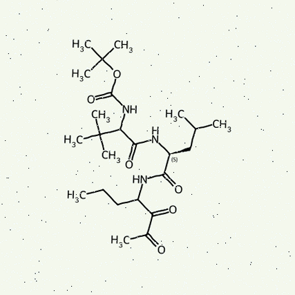 CCCC(NC(=O)[C@H](CC(C)C)NC(=O)C(NC(=O)OC(C)(C)C)C(C)(C)C)C(=O)C(C)=O